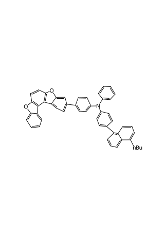 CCCCc1cccc2c(-c3ccc(N(c4ccccc4)c4ccc(-c5ccc6c(c5)oc5ccc7oc8ccccc8c7c56)cc4)cc3)cccc12